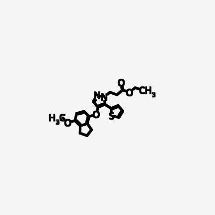 CCOC(=O)CCn1ncc(Oc2ccc(OC)c3c2CCC3)c1-c1cccs1